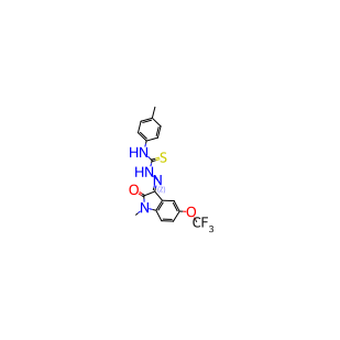 Cc1ccc(NC(=S)N/N=C2\C(=O)N(C)c3ccc(OC(F)(F)F)cc32)cc1